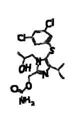 CC(O)Cn1c(COC(N)=O)nc(C(C)C)c1Sc1cc(Cl)cc(Cl)c1